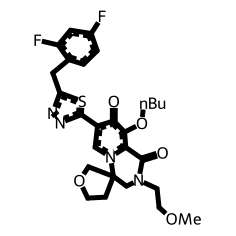 CCCCOc1c2n(cc(-c3nnc(Cc4ccc(F)cc4F)s3)c1=O)C1(CCOC1)CN(CCOC)C2=O